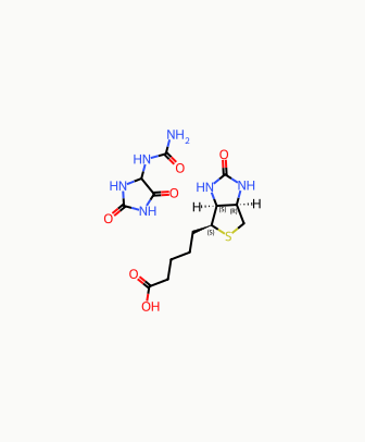 NC(=O)NC1NC(=O)NC1=O.O=C(O)CCCC[C@@H]1SC[C@@H]2NC(=O)N[C@@H]21